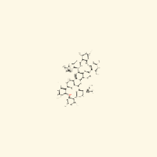 Cc1cc(C)c(-c2ccc(OS(=O)(=O)C(F)(F)F)c(-c3cc4c5ccc(-c6c(C)cc(C)cc6C)cc5c(-c5cc(-c6c(C)cc(C)cc6C)ccc5OS(=O)(=O)C(F)(F)F)cc4c4ccc(-c5c(C)cc(C)cc5C)cc34)c2)c(C)c1